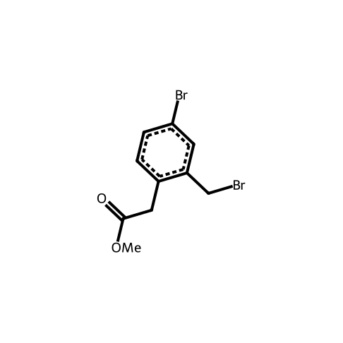 COC(=O)Cc1ccc(Br)cc1CBr